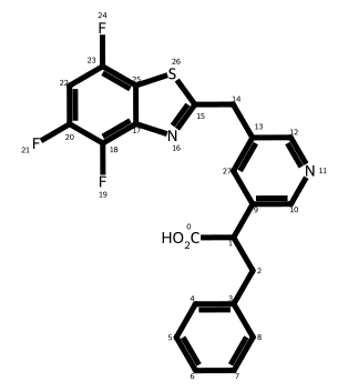 O=C(O)C(Cc1ccccc1)c1cncc(Cc2nc3c(F)c(F)cc(F)c3s2)c1